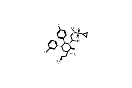 C=CC[C@@]1(C)C[C@H](c2cccc(Cl)c2)[C@@H](c2ccc(Cl)cc2)N([C@@H](CN(C)S(=O)(=O)C2CC2)C(C)C)C1=O